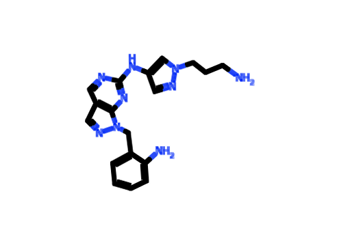 NCCCn1cc(Nc2ncc3cnn(Cc4ccccc4N)c3n2)cn1